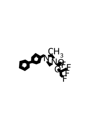 CC1CN(C(=O)OC(CF)C(F)(F)F)CCN1Cc1ccc(-c2ccccc2)cc1